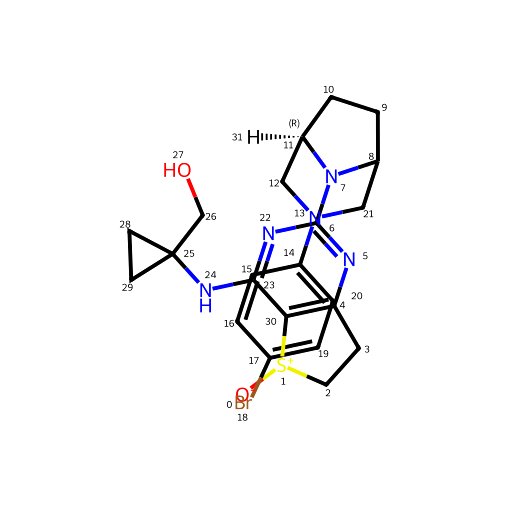 [O-][S+]1CCc2nc(N3C4CC[C@@H]3CN(c3ccc(Br)cc3)C4)nc(NC3(CO)CC3)c21